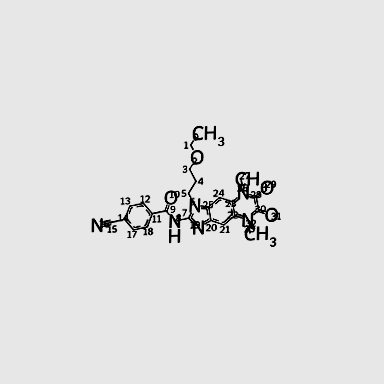 CCOCCCn1c(NC(=O)c2ccc(C#N)cc2)nc2cc3c(cc21)n(C)c(=O)c(=O)n3C